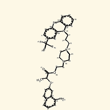 CC(Oc1ccc2cccc(N)c2c1)C(=O)OCCN1CCN(CCCN2c3ccccc3Sc3ccc(C(F)(F)F)cc32)CC1